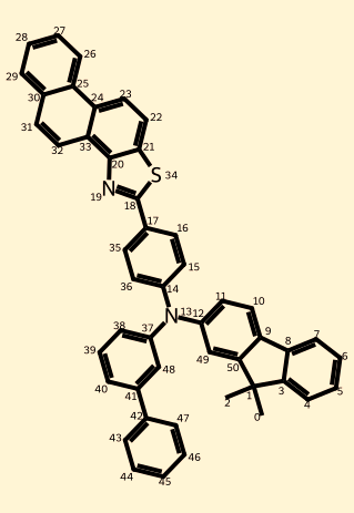 CC1(C)c2ccccc2-c2ccc(N(c3ccc(-c4nc5c(ccc6c7ccccc7ccc65)s4)cc3)c3cccc(-c4ccccc4)c3)cc21